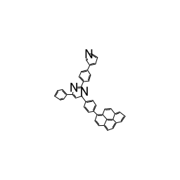 c1ccc(-c2cc(-c3ccc(-c4ccc5ccc6cccc7ccc4c5c67)cc3)nc(-c3ccc(-c4cccnc4)cc3)n2)cc1